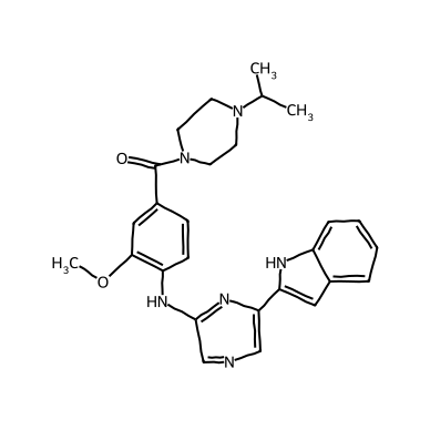 COc1cc(C(=O)N2CCN(C(C)C)CC2)ccc1Nc1cncc(-c2cc3ccccc3[nH]2)n1